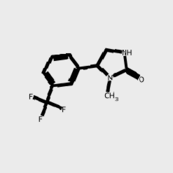 CN1C(=O)NCC1c1cccc(C(F)(F)F)c1